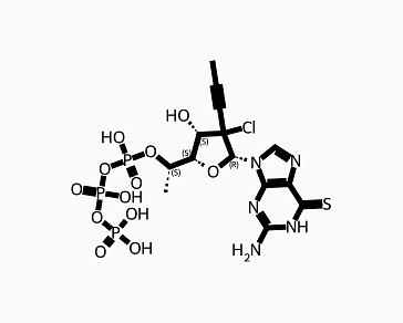 CC#CC1(Cl)[C@@H](O)[C@@H]([C@H](C)OP(=O)(O)OP(=O)(O)OP(=O)(O)O)O[C@H]1n1cnc2c(=S)[nH]c(N)nc21